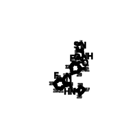 O=S(=O)(Nc1cscn1)c1c(F)cc(NCc2c(F)cccc2CNC2CCC2)cc1F